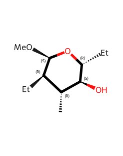 CC[C@H]1[C@@H](OC)O[C@H](CC)[C@@H](O)[C@@H]1C